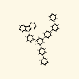 C1=Cc2c(c3ccccc3n2-c2cccc(-c3nc(-c4ccc(-c5ccccc5)cc4)nc(-c4ccc(-c5cccc(-c6ccccc6)c5)cc4)n3)c2)CC1